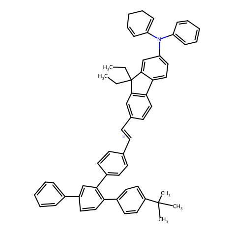 CCC1(CC)c2cc(/C=C/c3ccc(-c4cc(-c5ccccc5)ccc4-c4ccc(C(C)(C)C)cc4)cc3)ccc2-c2ccc(N(C3=CCCC=C3)c3ccccc3)cc21